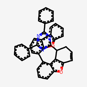 C1=Cc2oc3cccc(-c4cccc5c4oc4ccccc45)c3c2C(c2nc(-c3ccccc3)nc(-c3ccccc3)n2)C1